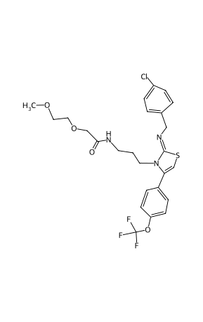 COCCOCC(=O)NCCCn1c(-c2ccc(OC(F)(F)F)cc2)cs/c1=N\Cc1ccc(Cl)cc1